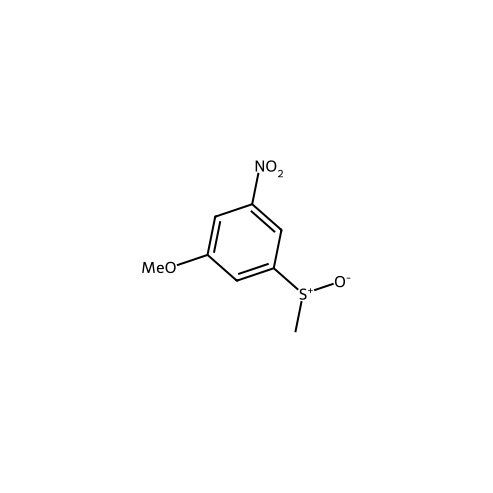 COc1cc([N+](=O)[O-])cc([S+](C)[O-])c1